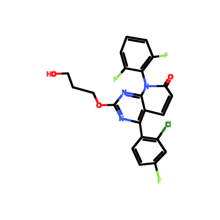 O=c1ccc2c(-c3ccc(F)cc3Cl)nc(OCCCO)nc2n1-c1c(F)cccc1F